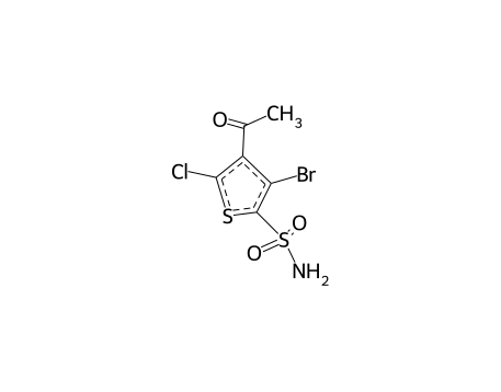 CC(=O)c1c(Cl)sc(S(N)(=O)=O)c1Br